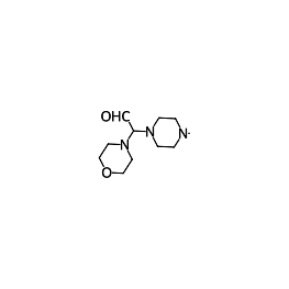 O=CC(N1CC[N]CC1)N1CCOCC1